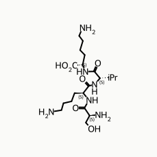 CC(C)[C@H](NC(=O)[C@H](CCCCN)NC(=O)[C@@H](N)CO)C(=O)N[C@@H](CCCCN)C(=O)O